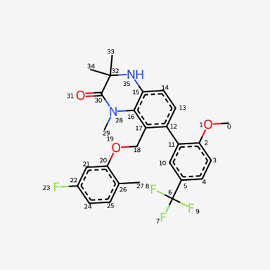 COc1ccc(C(F)(F)F)cc1-c1ccc2c(c1COc1cc(F)ccc1C)N(C)C(=O)C(C)(C)N2